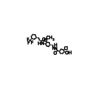 COc1cc(C=NNC(=O)c2ccc(O)c(Cl)c2)ccc1NC(=O)C=Cc1cccc(C(F)(F)F)c1